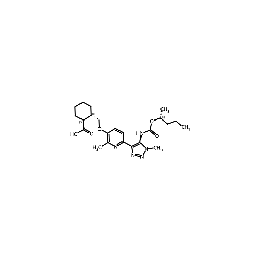 CCC[C@@H](C)OC(=O)Nc1c(-c2ccc(OC[C@H]3CCCC[C@@H]3C(=O)O)c(C)n2)nnn1C